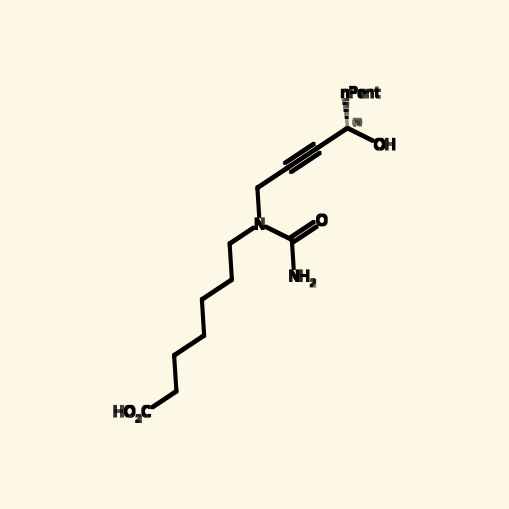 CCCCC[C@H](O)C#CCN(CCCCCCC(=O)O)C(N)=O